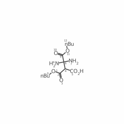 CCCCOC(=O)C(C(=O)O)C(N)(N)C(=O)OCCCC